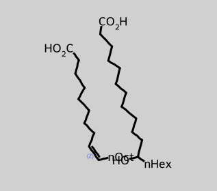 CCCCCCC(O)CCCCCCCCCCC(=O)O.CCCCCCCC/C=C\CCCCCCCC(=O)O